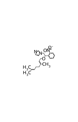 CC(C)=CCC/C(C)=C/COC(Cn1ccnc1)c1ccccc1[N+](=O)[O-]